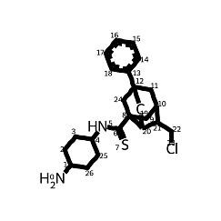 NC1CCC(NC(=S)C23CC4CC(c5ccccc5)(CC2C4CCl)C3)CC1